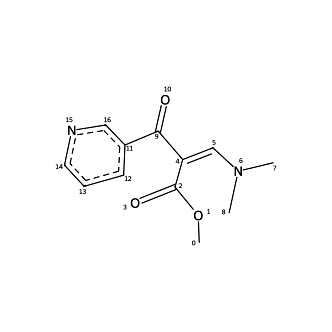 COC(=O)C(=CN(C)C)C(=O)c1cccnc1